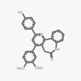 COc1ccc(-c2cc(-c3ccc(O)cc3)nc3c2CC(=O)Nc2ccccc2-3)cc1OC